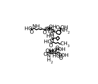 CCCCCC(=O)O.NC(CCCCC(=O)O)C(=O)O.NC(N)(CCCC(CP(=O)(O)O)P(=O)(O)O)C(=O)O.N[C@@]1(C(=O)O)CCC[C@H](C(=O)CP(=O)(O)O)C1.O=C(O)C1CCC1